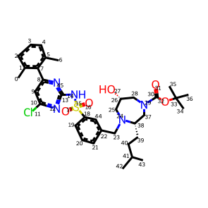 Cc1cccc(C)c1-c1cc(Cl)nc(NS(=O)(=O)c2cccc(CN3C[C@H](O)CN(C(=O)OC(C)(C)C)C[C@@H]3CCC(C)C)c2)n1